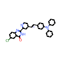 O=c1[nH]c(-c2cc(/C=C/c3ccc(N(c4ccccc4)c4ccccc4)cc3)ccn2)nc2ccc(Cl)cc12